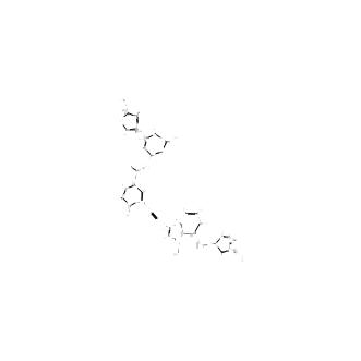 Cc1cc(NC(=O)c2ccc(C)c(C#CC3=CN(C)C4C(Nc5cnn(C)c5)=CC=CN34)c2)cc(-n2cnc(C)c2)c1